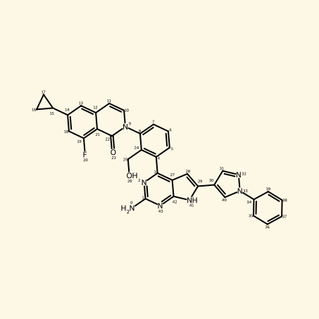 Nc1nc(-c2cccc(-n3ccc4cc(C5CC5)cc(F)c4c3=O)c2CO)c2cc(-c3cnn(-c4ccccc4)c3)[nH]c2n1